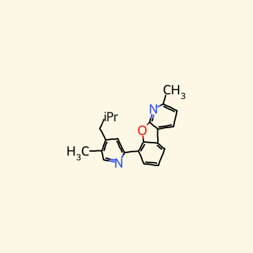 Cc1ccc2c(n1)oc1c(-c3cc(CC(C)C)c(C)cn3)cccc12